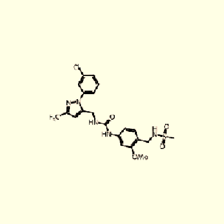 COc1cc(NC(=O)NCc2cc(C(F)(F)F)nn2-c2cccc(Cl)c2)ccc1CNS(C)(=O)=O